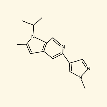 Cc1cc2cc(-c3cnn(C)c3)ncc2n1C(C)C